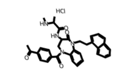 CNC(C)C(=O)NC1CN(C(=O)c2ccc(C(C)=O)cc2)c2ccccc2N(CCc2cccc3ccccc23)C1=O.Cl